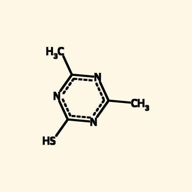 Cc1nc(C)nc(S)n1